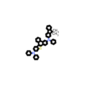 CC1(C)c2ccccc2-c2ccc(N(c3ccccc3)c3ccc4c(c3)c3ccccc3c3c5ccc(N(c6ccccc6)c6ccccc6)cc5sc43)cc21